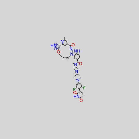 CN/C1=C(\C=N)c2cc(cc(C)n2)C(=O)/N=C2\Nc3ccc(C(=O)N(C)C4CN(C5CCN(c6cc(F)c([C@H]7CCC(=O)NC7=O)c(F)c6)CC5)C4)cc3N2C[C@H](C)CCCO1